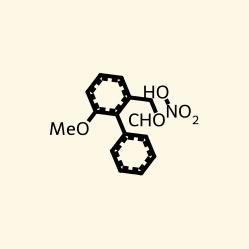 COc1cccc(CC=O)c1-c1ccccc1.O=[N+]([O-])O